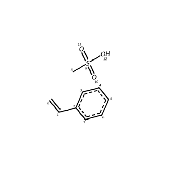 C=Cc1ccccc1.CS(=O)(=O)O